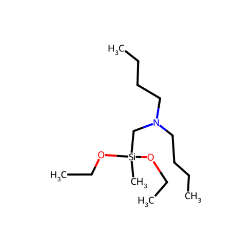 CCCCN(CCCC)C[Si](C)(OCC)OCC